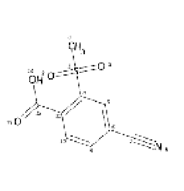 CS(=O)(=O)c1cc(C#N)ccc1C(=O)O